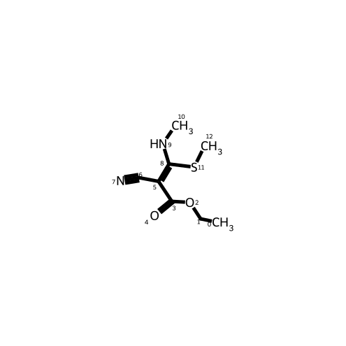 CCOC(=O)C(C#N)=C(NC)SC